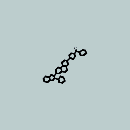 O=C(c1ccccc1)c1ccc(-c2ccc3c(ccc4cc(-c5cc6ccccc6cc5-c5ccccc5)ccc43)c2)cc1